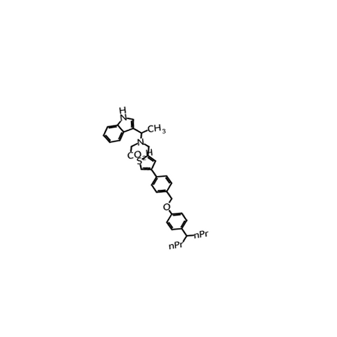 CCCC(CCC)c1ccc(OCc2ccc(-c3csc(CN(CC(=O)O)C(C)c4c[nH]c5ccccc45)c3)cc2)cc1